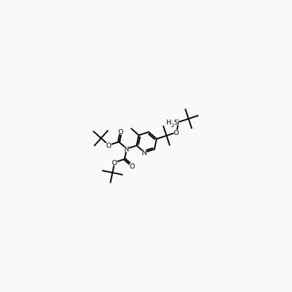 Cc1cc(C(C)(C)O[SiH2]C(C)(C)C)cnc1N(C(=O)OC(C)(C)C)C(=O)OC(C)(C)C